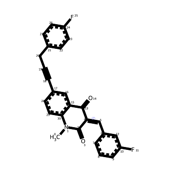 CN1C(=O)/C(=C\c2cccc(F)c2)C(=O)c2cc(C#CCc3ccc(F)cc3)ccc21